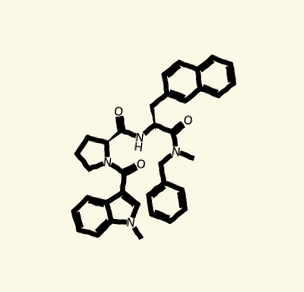 CN(Cc1ccccc1)C(=O)[C@H](Cc1ccc2ccccc2c1)NC(=O)[C@@H]1CCCN1C(=O)c1cn(C)c2ccccc12